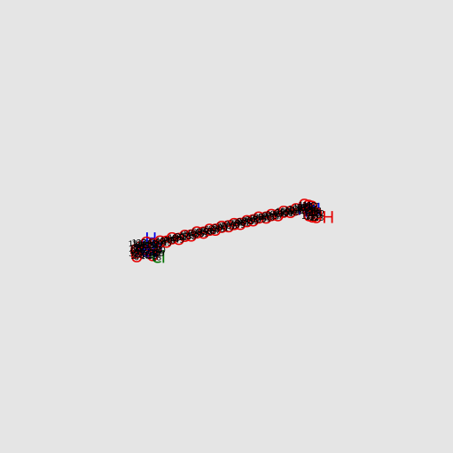 CC(C)(C)OC(=O)[C@H](Cc1ccc(NC(=O)c2c(Cl)cccc2Cl)cc1)NC(=O)C1(CCNC(=O)CCOCCOCCOCCOCCOCCOCCOCCOCCOCCOCCOCCOCCOCCOCCOCCOCCOCCOCCOCCOCCOCCOCCOCCOCCNC(=O)C(=O)ON2C(=O)CC(S(=O)(=O)O)C2=O)CCCC1